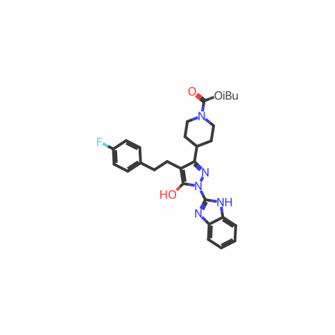 CC(C)COC(=O)N1CCC(c2nn(-c3nc4ccccc4[nH]3)c(O)c2CCc2ccc(F)cc2)CC1